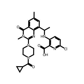 Cc1cc(C(C)Nc2ccc(Cl)nc2C(=O)O)c2nc(N3CCN(C(=O)C4CC4)CC3)n(C)c(=O)c2c1